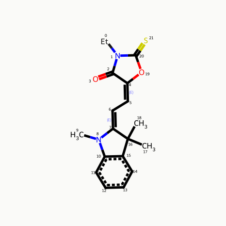 CCN1C(=O)/C(=C\C=C2\N(C)c3ccccc3C2(C)C)OC1=S